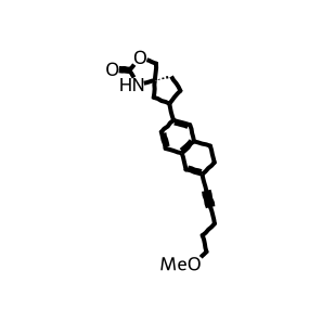 COCCCC#CC1=Cc2ccc(C3CC[C@]4(COC(=O)N4)C3)cc2CC1